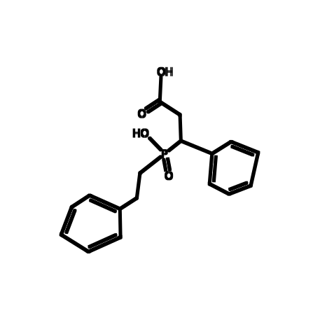 O=C(O)CC(c1ccccc1)P(=O)(O)CCc1ccccc1